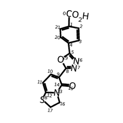 O=C(O)c1ccc(-c2nnc(-c3ccc4n(c3=O)CCS4)o2)cc1